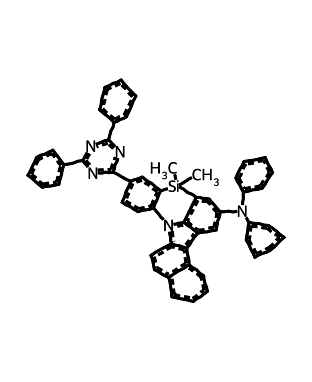 C[Si]1(C)c2cc(-c3nc(-c4ccccc4)nc(-c4ccccc4)n3)ccc2-n2c3ccc4ccccc4c3c3cc(N(c4ccccc4)c4ccccc4)cc1c32